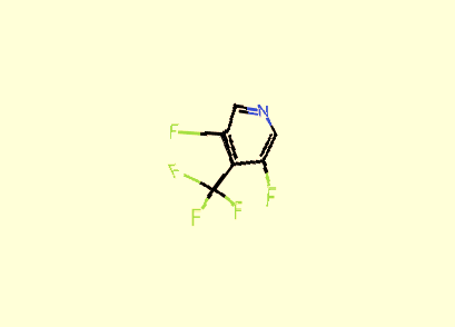 Fc1cncc(F)c1C(F)(F)F